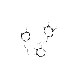 COCC(Cc1ccc(C)cc1)Nc1ccccc1NCc1cc(F)c(F)c(F)c1